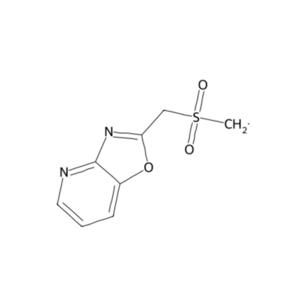 [CH2]S(=O)(=O)Cc1nc2ncccc2o1